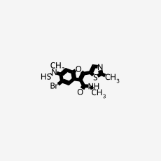 CNC(=O)c1c(-c2cnc(C)s2)oc2cc(N(C)S)c(Br)cc12